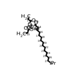 C=CC(=O)[O][Zr](=[O])([O]C(=O)C=C)([C](=O)CCCCCCCCCCCCCCC(C)C)[CH](C)C